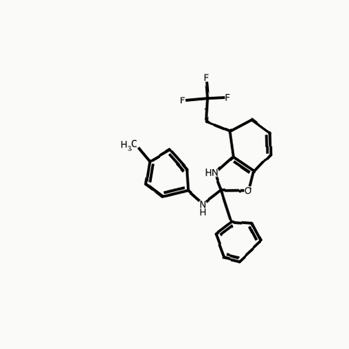 Cc1ccc(NC2(c3ccccc3)NC3=C(C=CCC3CC(F)(F)F)O2)cc1